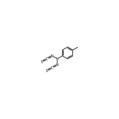 Cc1ccc(N(N=C=S)N=C=S)cc1